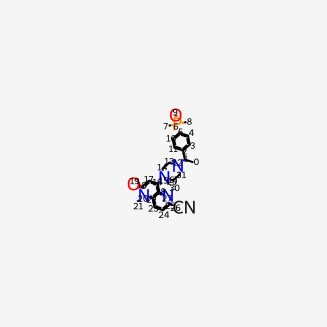 CC(c1ccc(P(C)(C)=O)cc1)N1CCN(c2cc(=O)n(C)c3ccc(C#N)nc23)[C@@H](C)C1